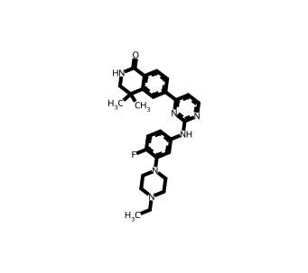 CCN1CCN(c2cc(Nc3nccc(-c4ccc5c(c4)C(C)(C)CNC5=O)n3)ccc2F)CC1